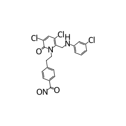 O=NC(=O)c1ccc(CCn2c(CNc3cccc(Cl)c3)c(Cl)cc(Cl)c2=O)cc1